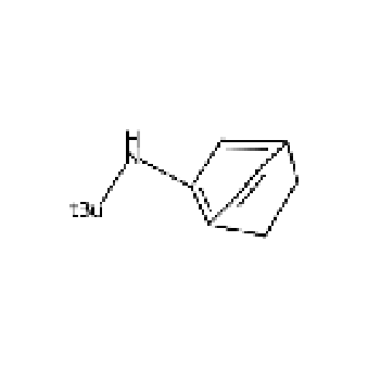 CC(C)(C)Nc1cc2ccc1CC2